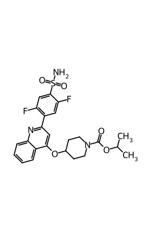 CC(C)OC(=O)N1CCC(Oc2cc(-c3cc(F)c(S(N)(=O)=O)cc3F)nc3ccccc23)CC1